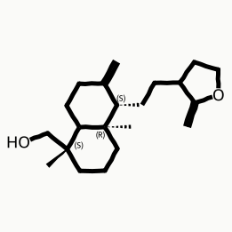 C=C1OCCC1CC[C@H]1C(=C)CCC2[C@@](C)(CO)CCC[C@@]21C